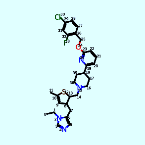 CCn1cncc1CC1C=C(C)SC1CN1CCC(c2cccc(OCc3ccc(Cl)cc3F)n2)CC1